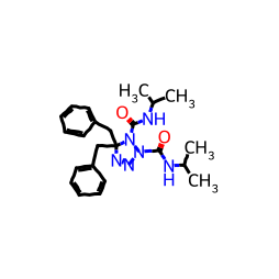 CC(C)NC(=O)N1N=NC(Cc2ccccc2)(Cc2ccccc2)N1C(=O)NC(C)C